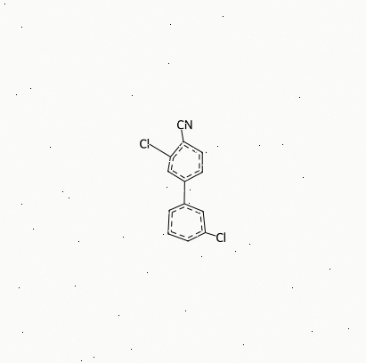 N#Cc1[c]cc(-c2cccc(Cl)c2)cc1Cl